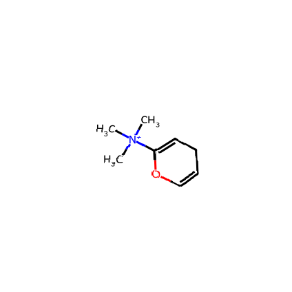 C[N+](C)(C)C1=CCC=CO1